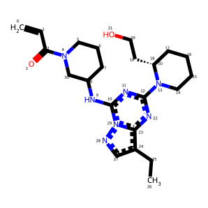 C=CC(=O)N1CCCC(Nc2nc(N3CCCC[C@H]3CCO)nc3c(CC)cnn23)C1